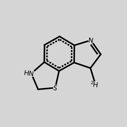 [2H]C1C=Nc2ccc3c(c21)SCN3